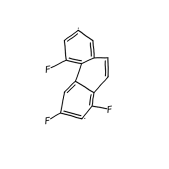 Fc1[c]c(F)c2ccc3c[c]cc(F)c3c2c1